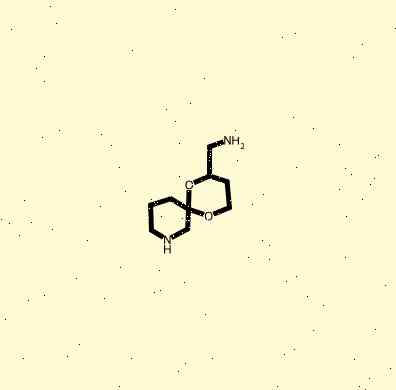 NCC1CCOC2(CCCNC2)O1